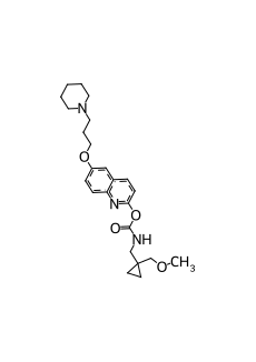 COCC1(CNC(=O)Oc2ccc3cc(OCCCN4CCCCC4)ccc3n2)CC1